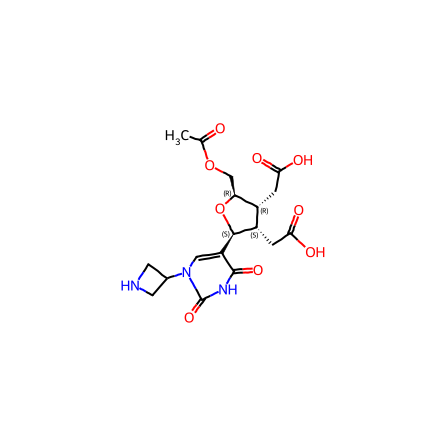 CC(=O)OC[C@@H]1O[C@H](c2cn(C3CNC3)c(=O)[nH]c2=O)[C@@H](CC(=O)O)[C@H]1CC(=O)O